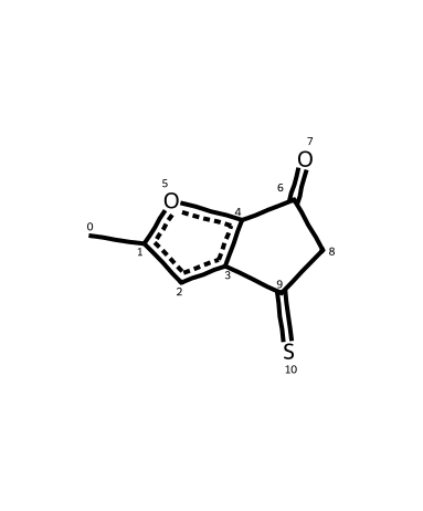 Cc1cc2c(o1)C(=O)CC2=S